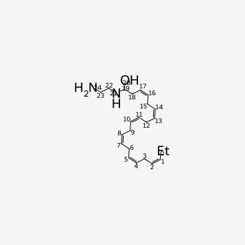 CC/C=C\C/C=C\C/C=C\C/C=C\C/C=C\C/C=C\CC(O)NCCN